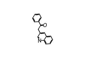 O=C(Cc1cnc2ccccc2c1)c1ccccc1